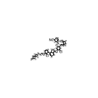 N#Cc1cncc(COc2cc(O[C@H]3CCc4c(-c5cccc(OCCCN6CC7(CC(F)C7)C6)c5Cl)cccc43)c(Cl)cc2CN[C@H]2CC[C@@H]2O)c1